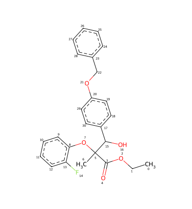 CCOC(=O)C(C)(Oc1ccccc1F)C(O)c1ccc(OCc2ccccc2)cc1